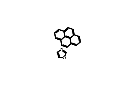 c1cc2ccc3cccc4ccc(c1)c2c34.c1cocn1